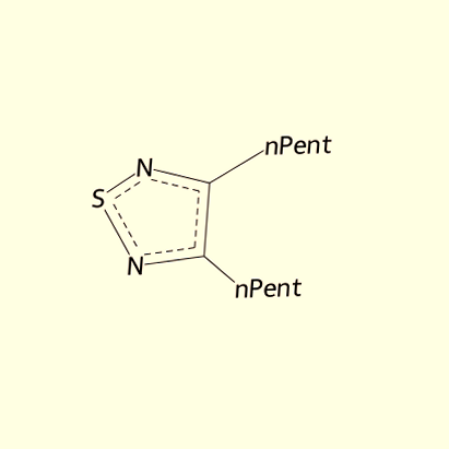 CCCCCc1nsnc1CCCCC